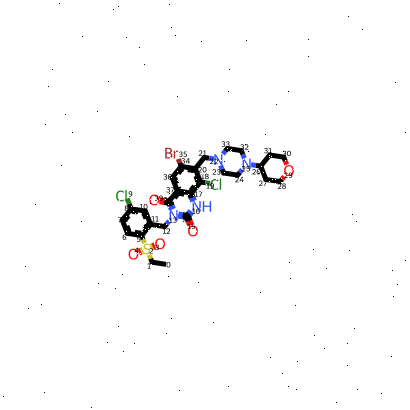 CCS(=O)(=O)c1ccc(Cl)cc1Cn1c(=O)[nH]c2c(Cl)c(CN3CCN(C4CCOCC4)CC3)c(Br)cc2c1=O